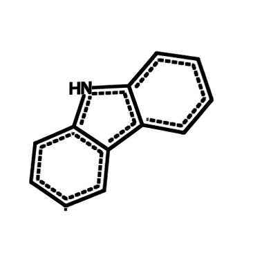 [c]1ccc2[nH]c3ccccc3c2c1